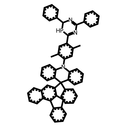 Cc1cc(N2c3ccccc3C(c3ccccc3)(c3cc4ccccc4c4c3Cc3ccccc3-4)c3ccccc32)c(C)cc1C1=NC(c2ccccc2)=NC(c2ccccc2)P1